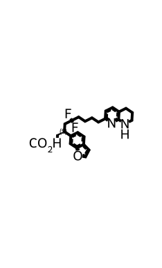 O=C(O)C[C@@H](CC(F)(F)CCCCc1ccc2c(n1)NCCC2)c1ccc2ccoc2c1